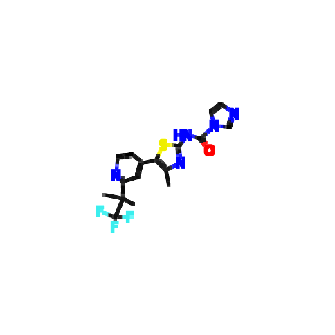 Cc1nc(NC(=O)n2ccnc2)sc1-c1ccnc(C(C)(C)C(F)(F)F)c1